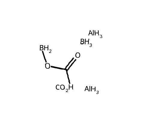 B.BOC(=O)C(=O)O.[AlH3].[AlH3]